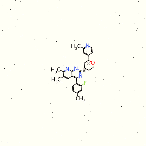 Cc1ccc(-c2nc([C@H]3CCO[C@@H](c4ccnc(C)c4)C3)nc3nc(C)c(C)cc23)c(F)c1